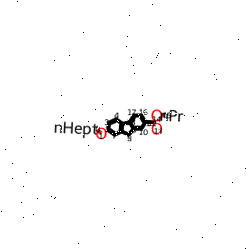 CCCCCCCOc1ccc2c(c1)Cc1cc(C(=O)OCCC)ccc1-2